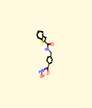 O=C(NO)c1ccc(CNC(=O)c2cc3ccccc3s2)cc1